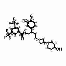 CN(CC(CCN1CC(N2CCC(O)CC2)C1)c1ccc(Cl)c(Cl)c1)C(=O)c1cc(C(F)(F)F)cc(C(F)(F)F)c1